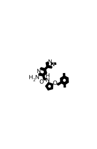 Cc1ccc(C)c(CO[C@H]2CCC[C@@H]2NC(=O)c2cc(-c3cnn(C)c3)cnc2N)c1